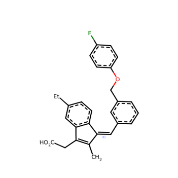 CCc1ccc2c(c1)C(CC(=O)O)=C(C)/C2=C/c1cccc(COc2ccc(F)cc2)c1